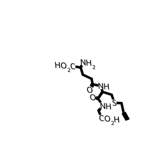 C#CCSCC(NC(=O)CCC(N)C(=O)O)C(=O)NCC(=O)O